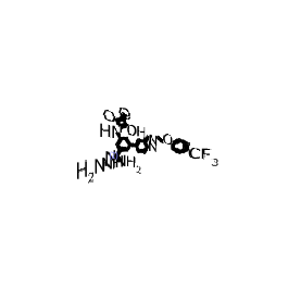 NN/N=C(\N)c1cc(Nc2c(O)c(=O)c2=O)cc(-c2ccc3nn(CCOc4ccc(C(F)(F)F)cc4)cc3c2)c1